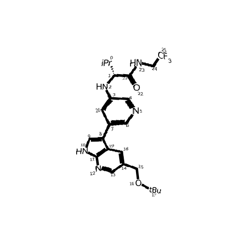 CC(C)[C@@H](Nc1cncc(-c2c[nH]c3ncc(COC(C)(C)C)cc23)c1)C(=O)NCC(F)(F)F